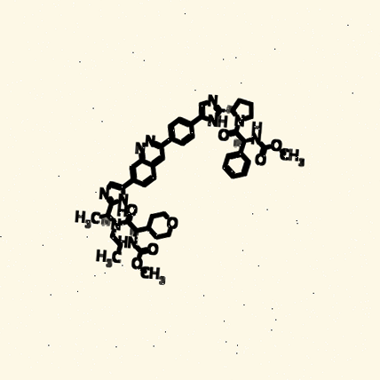 CCCN(C(=O)[C@@H](NC(=O)OC)C1CCOCC1)[C@@H](C)c1ncc(-c2ccc3cc(-c4ccc(-c5cnc([C@@H]6CCCN6C(=O)[C@@H](NC(=O)OC)c6ccccc6)[nH]5)cc4)nnc3c2)[nH]1